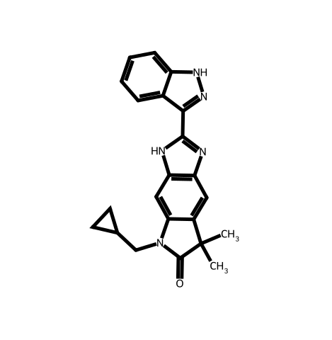 CC1(C)C(=O)N(CC2CC2)c2cc3[nH]c(-c4n[nH]c5ccccc45)nc3cc21